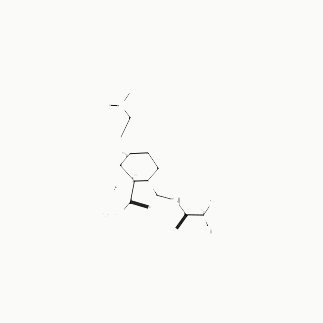 COC(=O)[C@@]1(N)C[C@H](CCB(O)O)CC[C@H]1CNC(=O)[C@@H](N)C(C)C